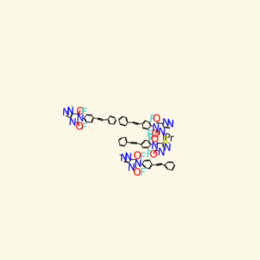 CC(C)n1c(=O)n(-c2c(F)cc(C#Cc3ccccc3)cc2F)c(=O)c2nn(C)cc21.Cn1c(=O)n(-c2c(F)cc(C#Cc3ccccc3)cc2F)c(=O)c2scnc21.Cn1cc2c(n1)c(=O)n(-c1c(F)cc(C#Cc3ccccc3)cc1F)c(=O)n2C.Cn1ncc2c1c(=O)n(-c1c(F)cc(C#Cc3ccccc3)cc1F)c(=O)n2C